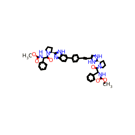 COC(=O)N[C@@H](C(=O)N1CCC[C@H]1c1nc2ccc(-c3ccc(C#CC4=CNC([C@@H]5CCCN5C(=O)[C@H](NC(=O)OC)c5ccccc5)N4)cc3)cc2[nH]1)c1ccccc1